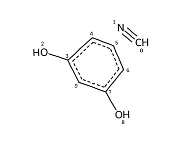 C#N.Oc1cccc(O)c1